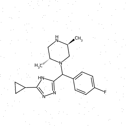 C[C@@H]1CN[C@@H](C)CN1C(c1ccc(F)cc1)c1nnc(C2CC2)[nH]1